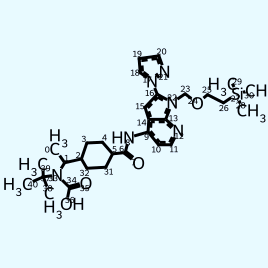 CC(C1CCC(C(=O)Nc2ccnc3c2cc(-n2cccn2)n3COCC[Si](C)(C)C)CC1)N(C(=O)O)C(C)(C)C